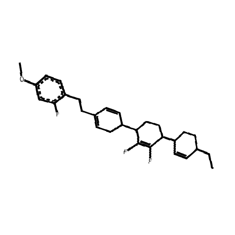 CCC1C=CC(C2CCC(C3C=CC(CCc4ccc(OC)cc4F)=CC3)C(F)=C2F)CC1